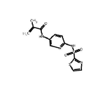 C=C(C)C(=O)Nc1ccc(NS(=O)(=O)c2nccs2)nc1